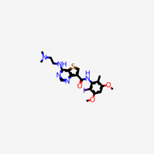 COc1cc(OC)c(I)c(NC(=O)c2csc3c(NCCN(C)C)ncnc23)c1C